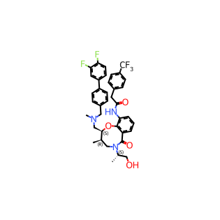 C[C@@H]1CN([C@@H](C)CO)C(=O)c2cccc(NC(=O)Cc3ccc(C(F)(F)F)cc3)c2O[C@@H]1CN(C)Cc1ccc(-c2ccc(F)c(F)c2)cc1